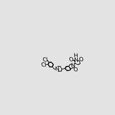 O=C1CCC(N2Cc3cc(C4CCN(Cc5ccc(Cl)c(Cl)c5)CC4)ccc3C2=O)C(=O)N1